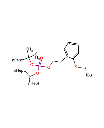 CCCCCCCC(CCCCCCC)OP(=O)(OCCc1ccccc1SSC(C)(C)C)OC(C)(C)CCCCC